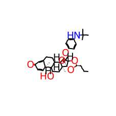 CCC[C@@H]1O[C@@H]2C[C@H]3[C@@H]4CCC5=CC(=O)C=C[C@]5(C)[C@H]4[C@@H](O)C[C@]3(C)[C@]2(C(=O)COc2ccc(NC(C)(C)C)cc2)O1